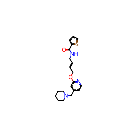 O=C(NCC=CCOc1cc(CN2CCCCC2)ccn1)c1cccs1